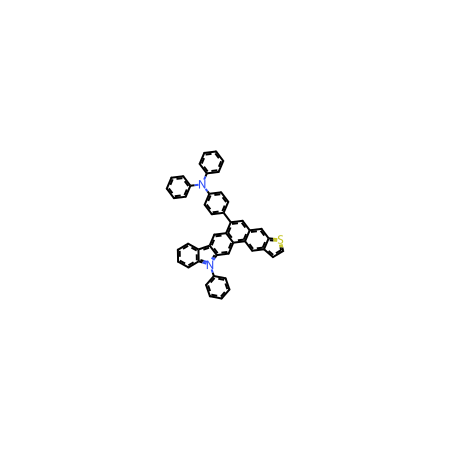 c1ccc(N(c2ccccc2)c2ccc(-c3cc4cc5sccc5cc4c4cc5c(cc34)c3ccccc3n5-c3ccccc3)cc2)cc1